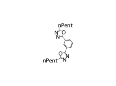 CCCCCc1nnc(-c2cccc(-c3nnc(CCCCC)o3)c2)o1